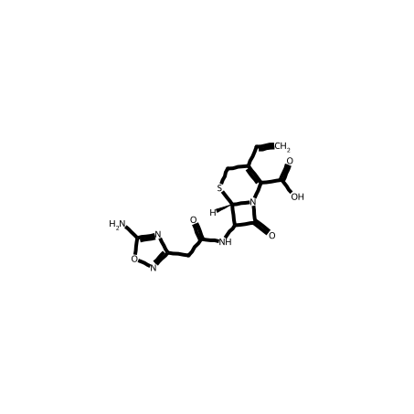 C=CC1=C(C(=O)O)N2C(=O)C(NC(=O)Cc3noc(N)n3)[C@@H]2SC1